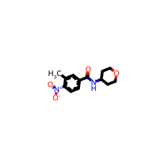 Cc1cc(C(=O)NC2CCOCC2)ccc1[N+](=O)[O-]